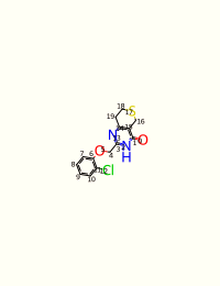 O=c1[nH]c(COc2ccccc2Cl)nc2c1CSCC2